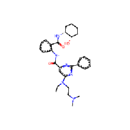 CCN(CCN(C)C)c1cc(C(=O)Nc2ccccc2C(=O)N[C@@H]2CCCC[C@@H]2O)nc(-c2ccccc2)n1